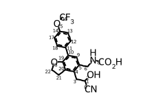 N#CC(O)Cc1c(CNC(=O)O)cc(-c2ccc(OC(F)(F)F)cc2)c2c1CCO2